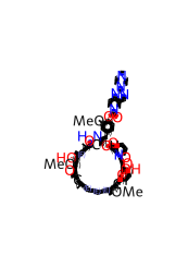 CO[C@H]1C[C@@H]2CC[C@@H](C)[C@@](O)(O2)C(=O)C(=O)N2CCCC[C@H]2C(=O)O[C@H]([C@H](N)C[C@@H]2CC[C@@H](OC(=O)N3CCc4nc(N5CCN(C)CC5)ncc4C3)[C@H](OC)C2)CC(=O)[C@H](C)/C=C(\C)[C@@H](O)[C@@H](OC)C(=O)C(C)C[C@H](C)/C=C/C=C/C=C/1C